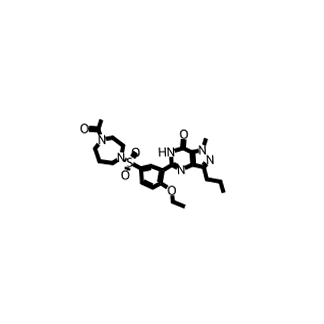 CCCc1nn(C)c2c(=O)[nH]c(-c3cc(S(=O)(=O)N4CCCN(C(C)=O)CC4)ccc3OCC)nc12